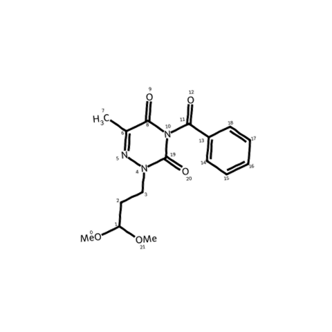 COC(CCn1nc(C)c(=O)n(C(=O)c2ccccc2)c1=O)OC